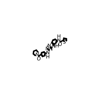 O=C(Nc1cccc(Nc2ncnc(Nc3ccc(C(=O)N4CCCCC4)cc3)n2)c1)c1cccs1